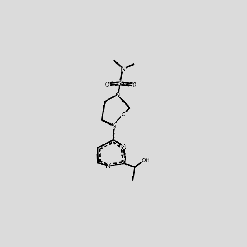 CC(O)c1nccc(N2CCN(S(=O)(=O)N(C)C)CC2)n1